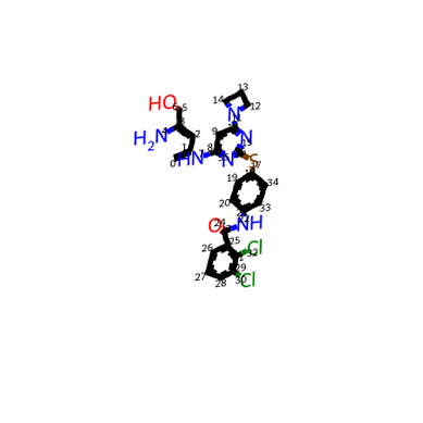 C=C(/C=C(\N)CO)Nc1cc(N2CCC2)nc(Sc2ccc(NC(=O)c3cccc(Cl)c3Cl)cc2)n1